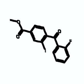 COC(=O)c1ccc(C(=O)c2ccccc2F)c(I)c1